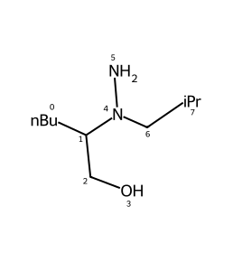 CCCCC(CO)N(N)CC(C)C